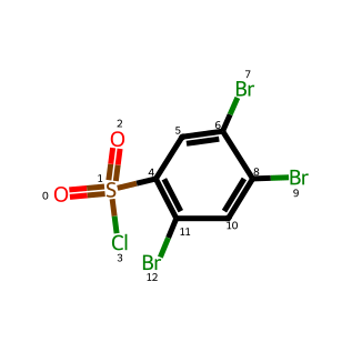 O=S(=O)(Cl)c1cc(Br)c(Br)cc1Br